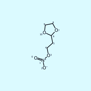 O=[N+]([O-])OCCC1OCCO1